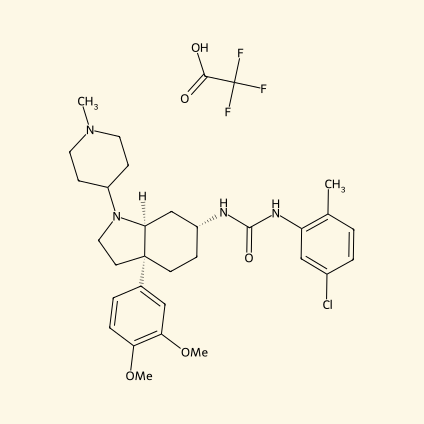 COc1ccc([C@@]23CC[C@@H](NC(=O)Nc4cc(Cl)ccc4C)C[C@@H]2N(C2CCN(C)CC2)CC3)cc1OC.O=C(O)C(F)(F)F